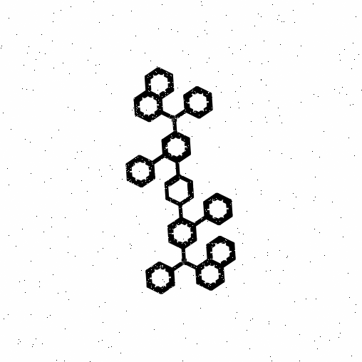 C1=CC(c2ccc(N(c3ccccc3)c3cccc4ccccc34)cc2-c2ccccc2)CC=C1c1ccc(N(c2ccccc2)c2cccc3ccccc23)cc1-c1ccccc1